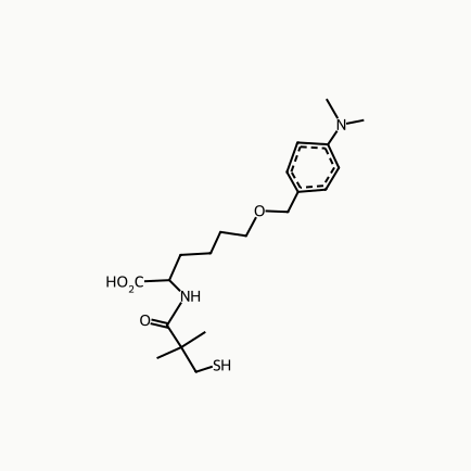 CN(C)c1ccc(COCCCCC(NC(=O)C(C)(C)CS)C(=O)O)cc1